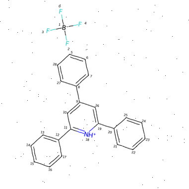 F[B-](F)(F)F.c1ccc(-c2cc(-c3ccccc3)[nH+]c(-c3ccccc3)c2)cc1